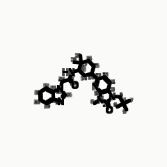 Cn1c(=O)n(CC(C)(C)C)c2ccc(C3CCC(C)(C)C(NC(=O)Cn4cnc5ccccc54)C3)nc21